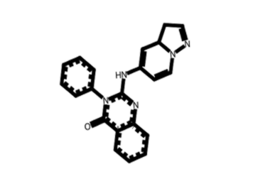 O=c1c2ccccc2nc(NC2=CC3CC=NN3C=C2)n1-c1ccccc1